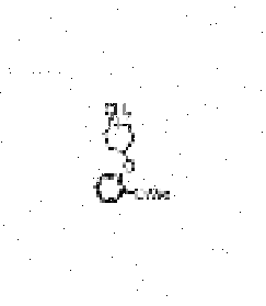 COc1ccccc1OC1CCN(C)CC1